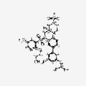 CS(=O)(=O)N1CCN2c3ccc(-c4cc(F)cc(OC(F)F)c4)cc3N(S(=O)(=O)c3cc(C(F)(F)F)cnc3OCCO)C[C@@H]2C1